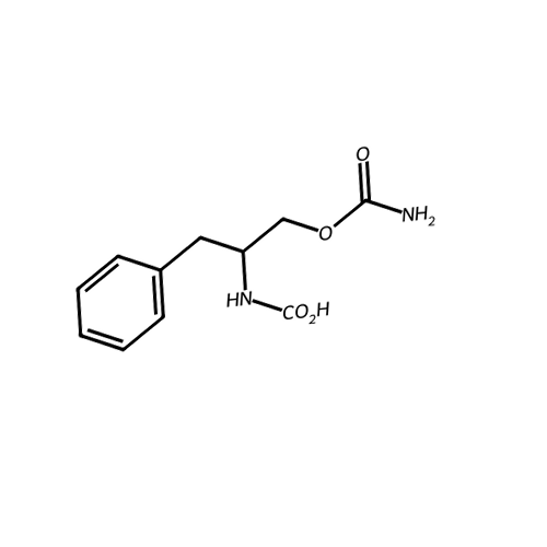 NC(=O)OCC(Cc1ccccc1)NC(=O)O